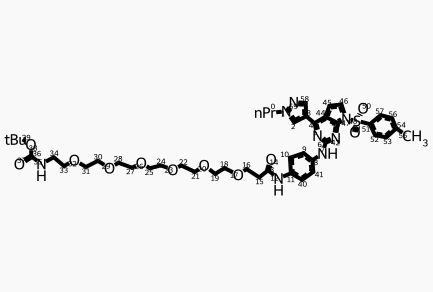 CCCn1cc(-c2nc(Nc3ccc(NC(=O)CCOCCOCCOCCOCCOCCOCCNC(=O)OC(C)(C)C)cc3)nc3c2ccn3S(=O)(=O)c2ccc(C)cc2)cn1